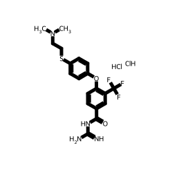 CN(C)CCSc1ccc(Oc2ccc(C(=O)NC(=N)N)cc2C(F)(F)F)cc1.Cl.Cl